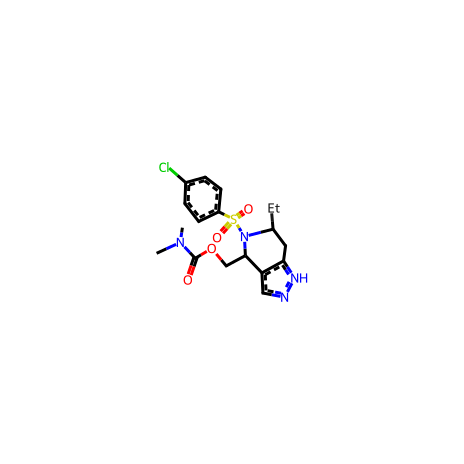 CCC1Cc2[nH]ncc2C(COC(=O)N(C)C)N1S(=O)(=O)c1ccc(Cl)cc1